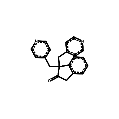 O=C1Cc2ccccc2C1(Cc1ccncc1)Cc1ccncc1